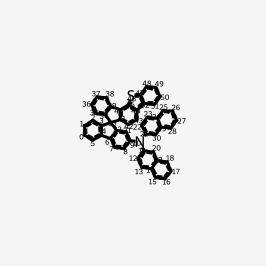 c1ccc2c(c1)-c1ccc(N(c3ccc4ccccc4c3)c3ccc4ccccc4c3)cc1C21c2ccccc2-c2c1ccc1c2sc2ccccc21